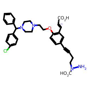 NN(CCC#Cc1ccc(OCCN2CCN(C(c3ccccc3)c3ccc(Cl)cc3)CC2)c(/C=C/C(=O)O)c1)C(=O)O